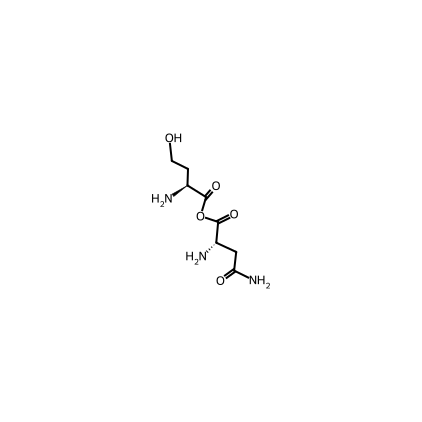 NC(=O)C[C@H](N)C(=O)OC(=O)[C@@H](N)CCO